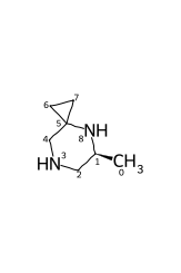 C[C@H]1CNCC2(CC2)N1